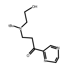 CC(C)(C)N(CCO)CCC(=O)c1cnccn1